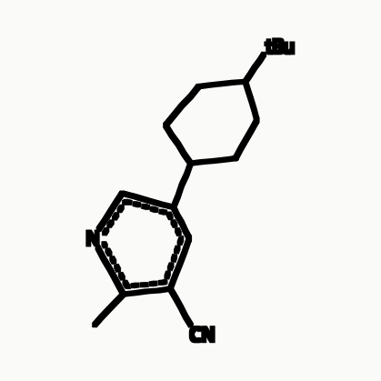 Cc1ncc(C2CCC(C(C)(C)C)CC2)cc1C#N